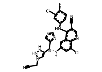 N#CCN1C=C([C@@H](Nc2cc(Cl)c3ncc(C#N)c(Nc4ccc(F)c(Cl)c4)c3c2)c2cscn2)NN1